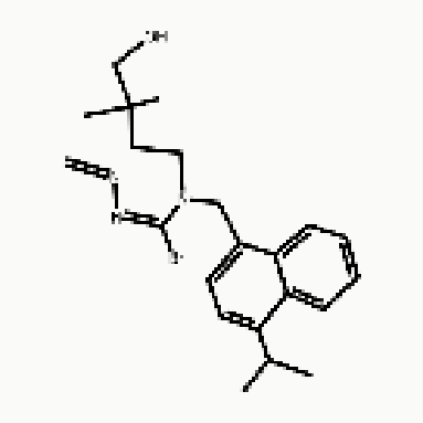 C=N/N=C(/Br)N(CCC(C)(C)CO)Cc1ccc(C(C)C)c2ccccc12